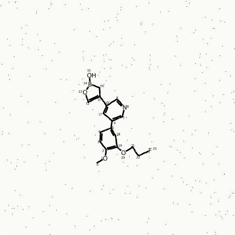 COc1ccc(-c2cncc(C3=COB(O)C3)c2)cc1OCCF